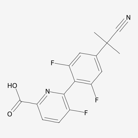 CC(C)(C#N)c1cc(F)c(-c2nc(C(=O)O)ccc2F)c(F)c1